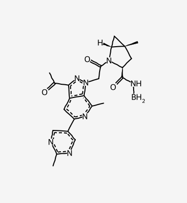 BNC(=O)[C@@H]1C[C@@]2(C)C[C@H]2N1C(=O)Cn1nc(C(C)=O)c2cc(-c3cnc(C)nc3)nc(C)c21